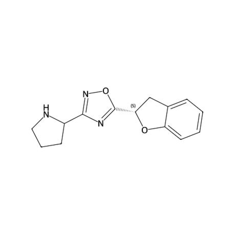 c1ccc2c(c1)C[C@@H](c1nc(C3CCCN3)no1)O2